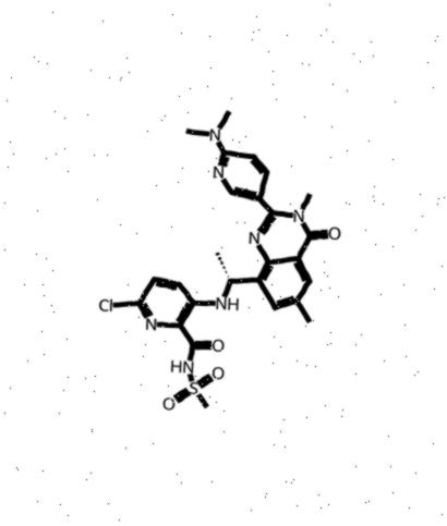 Cc1cc([C@@H](C)Nc2ccc(Cl)nc2C(=O)NS(C)(=O)=O)c2nc(-c3ccc(N(C)C)nc3)n(C)c(=O)c2c1